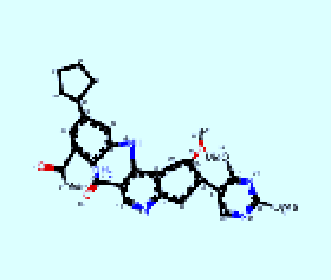 COC(=O)c1cc(Nc2c(C(N)=O)cnc3cc(-c4cnc(OC)nc4OC)c(OC(C)C)cc23)cc(C2CCCC2)c1